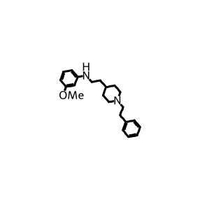 COc1cccc(NCCC2CCN(CCc3ccccc3)CC2)c1